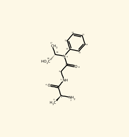 C[C@H](N)C(=O)NCC(=O)N(c1ccccc1)[C@@H](C)C(=O)O